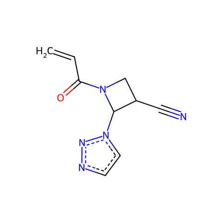 C=CC(=O)N1CC(C#N)C1n1ccnn1